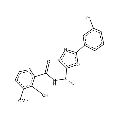 COc1ccnc(C(=O)N[C@@H](C)c2nnc(-c3cccc(C(C)C)c3)o2)c1O